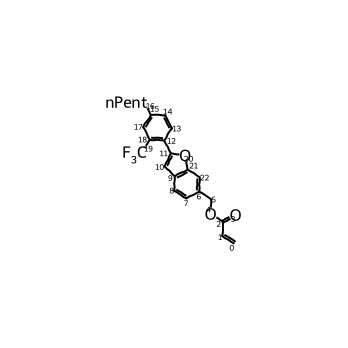 C=CC(=O)OCc1ccc2cc(-c3ccc(CCCCC)cc3C(F)(F)F)oc2c1